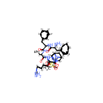 CC(C)CC(NC(=O)C(Cc1ccccc1)NC(=O)C(N)Cc1ccccc1)C(=O)NC(CCCCN)C(=O)N1C2CC1CN(S(C)(=O)=O)C2